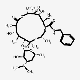 CC[C@H]1OC(=O)[C@H](C)[C@@H](O)[C@H](C)[C@@H](O[C@@H]2O[C@H](C)C[C@H](N(C)C)[C@H]2O)[C@](C)(O)C[C@@H](C)CN(C(=O)NCc2ccccc2)[C@H](C)[C@@H](O)[C@]1(C)O